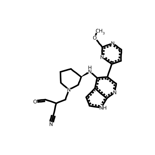 COc1nccc(-c2cnc3[nH]ccc3c2N[C@@H]2CCCN(CC(C#N)C=O)C2)n1